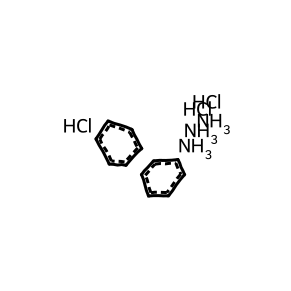 Cl.Cl.Cl.N.N.N.c1ccccc1.c1ccccc1